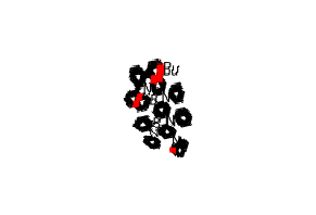 CC(C)(C)c1cc2c3c(c1)N(c1c(-c4ccccc4)cccc1-c1ccccc1)c1ccccc1B3c1cc3c(cc1N2c1ccccc1)N(c1ccccc1)c1cc(N2C4CC5CC(C4)CC2C5)cc2c1B3c1ccccc1N2c1ccccc1